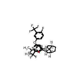 CC(C)n1nc(N[C@@H]2[C@@H]3CC[C@H]2CN(c2ccnc(C(F)(F)F)c2)C3)nc1Oc1ccc(F)c(C(F)(F)F)c1